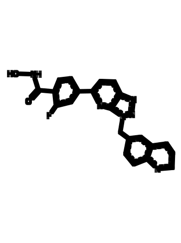 O=C(NO)c1ccc(-c2ccc3nnn(Cc4ccc5ncccc5c4)c3n2)cc1F